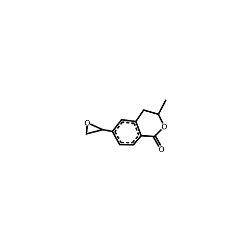 CC1Cc2cc(C3CO3)ccc2C(=O)O1